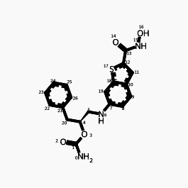 NC(=O)O[C@H](CNc1ccc2cc(C(=O)NO)sc2c1)Cc1ccccc1